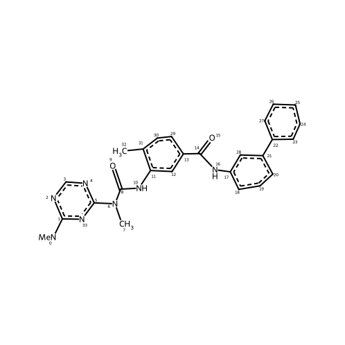 CNc1ncnc(N(C)C(=O)Nc2cc(C(=O)Nc3cccc(-c4ccccc4)c3)ccc2C)n1